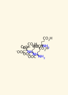 N[C@@H](CCC(=O)O)C(=O)[O-].N[C@@H](CCC(=O)O)C(=O)[O-].N[C@@H](CCC(=O)O)C(=O)[O-].N[C@@H](CCC(=O)O)C(=O)[O-].[Cu+2].[Cu+2]